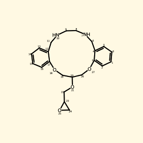 c1ccc2c(c1)CNCCNCc1ccccc1OCC(OCC1CO1)CO2